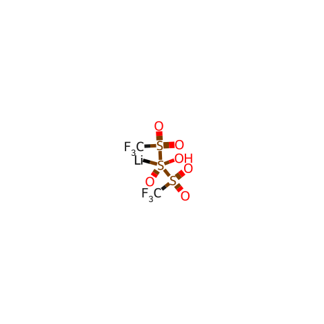 [Li][S](=O)(O)(S(=O)(=O)C(F)(F)F)S(=O)(=O)C(F)(F)F